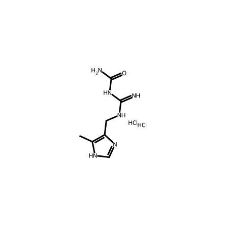 Cc1[nH]cnc1CNC(=N)NC(N)=O.Cl.Cl